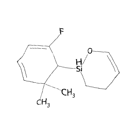 CC1(C)C=CC=C(F)C1[SiH]1CCC=CO1